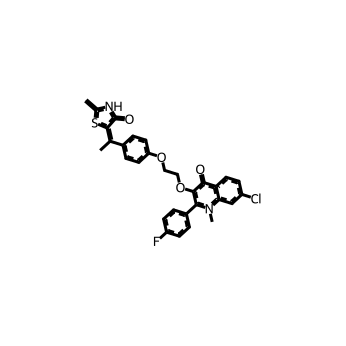 C=c1[nH]c(=O)/c(=C(/C)c2ccc(OCCOc3c(-c4ccc(F)cc4)n(C)c4cc(Cl)ccc4c3=O)cc2)s1